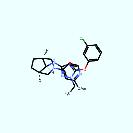 COc1cc(N2C[C@H]3CC[C@@H](C2)[C@H]3Nc2nc(Oc3cccc(Cl)c3)n(CC(F)(F)F)n2)ccn1